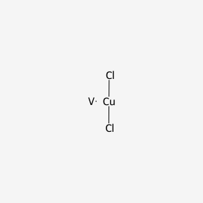 [Cl][Cu][Cl].[V]